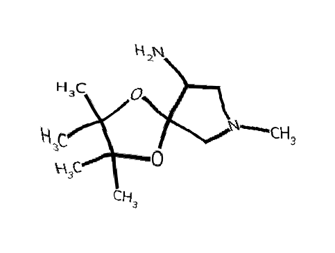 CN1CC(N)C2(C1)OC(C)(C)C(C)(C)O2